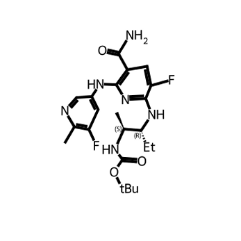 CC[C@@H](Nc1nc(Nc2cnc(C)c(F)c2)c(C(N)=O)cc1F)[C@H](C)NC(=O)OC(C)(C)C